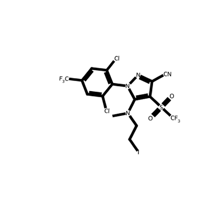 CN(CCI)c1c(S(=O)(=O)C(F)(F)F)c(C#N)nn1-c1c(Cl)cc(C(F)(F)F)cc1Cl